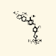 C[C@@H]1OCC2(CCN(c3ncc(Sc4ccc(N5CC(C(C)(C)O)C5)nc4Cl)nc3CO)CC2)[C@@H]1C